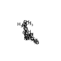 CC(C)(C)OC(=O)N1CCC(NC(=O)c2sc3ncnc4c3c2NC(=O)N4c2ccc(N3CCOCC3)cc2)CC1